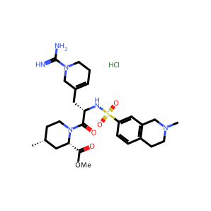 COC(=O)[C@@H]1C[C@H](C)CCN1C(=O)[C@H](CC1=CCCN(C(=N)N)C1)NS(=O)(=O)c1ccc2c(c1)CN(C)CC2.Cl